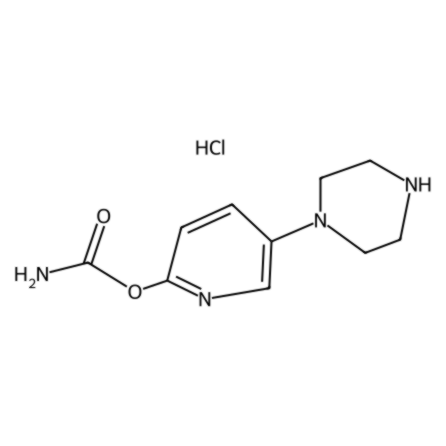 Cl.NC(=O)Oc1ccc(N2CCNCC2)cn1